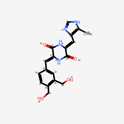 CC(C)(C)c1[nH]cnc1/C=c1\[nH]c(=O)/c(=C/c2ccc(CO)c(CO)c2)[nH]c1=O